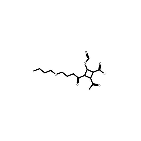 CCCCOCCCC(=O)C1C(OC=O)C(C(=O)O)C1C(C)=O